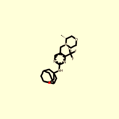 C[C@@H]1COC[C@H](C)N1Cc1cnc(NC23CCC4CC(CC(C4)C2)C3)nc1C(F)(F)F